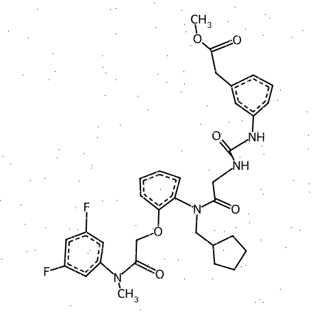 COC(=O)Cc1cccc(NC(=O)NCC(=O)N(CC2CCCC2)c2ccccc2OCC(=O)N(C)c2cc(F)cc(F)c2)c1